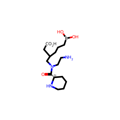 NCCN(CC(CCCB(O)O)CC(=O)O)C(=O)[C@@H]1CCCCN1